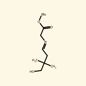 CC(C)(CO)C/C=N/CC(=O)OC(C)(C)C